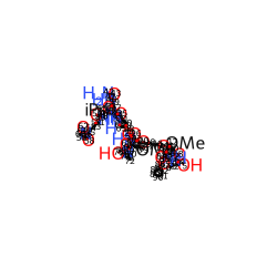 C=C1C[C@@H](CO)N(C(=O)c2cc(OC)c(OCCCCCOc3cc(NC(=O)OCc4ccc(NC(=O)[C@H](CCCNC(N)=O)NC(=O)[C@@H](NC(=O)CCCCCN5C(=O)C=CC5=O)C(C)C)cc4)c(C(=O)N4CC(=C)C[C@H]4CO)cc3OC)cc2NC(=O)OCc2ccccc2)C1